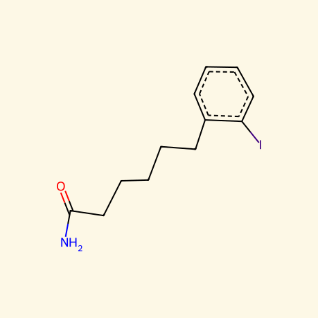 NC(=O)CCCCCc1ccccc1I